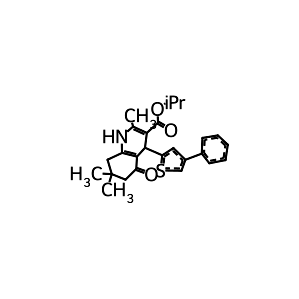 CC1=C(C(=O)OC(C)C)C(c2cc(-c3ccccc3)cs2)C2=C(CC(C)(C)CC2=O)N1